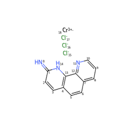 N=c1ccc2ccc3cccnc3c2[nH]1.[Cl-].[Cl-].[Cl-].[Cr+3]